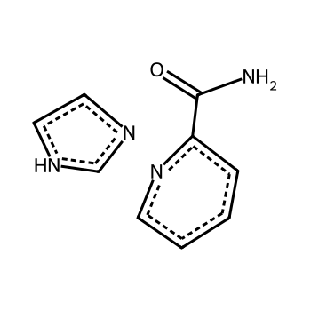 NC(=O)c1ccccn1.c1c[nH]cn1